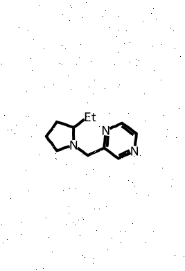 CCC1CCCN1Cc1cnccn1